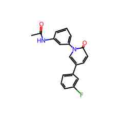 CC(=O)Nc1cccc(-n2cc(-c3cccc(F)c3)ccc2=O)c1